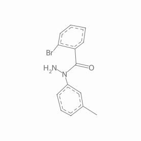 Cc1cccc(N(N)C(=O)c2ccccc2Br)c1